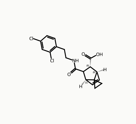 O=C(NCCc1ccc(Cl)cc1Cl)C1[C@H](C(=O)O)[C@H]2C=C[C@@H]1C21CC1